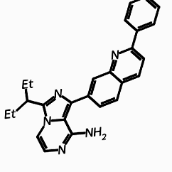 CCC(CC)c1nc(-c2ccc3ccc(-c4ccccc4)nc3c2)c2c(N)nccn12